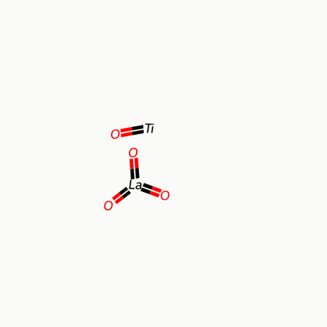 [O]=[La](=[O])=[O].[O]=[Ti]